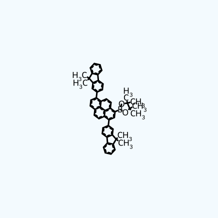 CC1(C)c2ccccc2-c2ccc(-c3ccc4ccc5c(-c6ccc7c(c6)C(C)(C)c6ccccc6-7)cc(B6OC(C)(C)C(C)(C)O6)c6ccc3c4c65)cc21